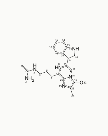 C=C(N)NCCCc1[nH]c(C2CNc3ccccc32)cn2c(=O)c(C)nc1-2